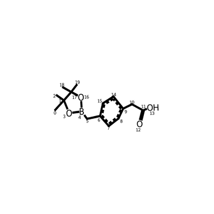 CC1(C)OB(Cc2ccc(CC(=O)O)cc2)OC1(C)C